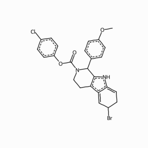 COc1ccc(C2c3[nH]c4c(c3CCN2C(=O)Oc2ccc(Cl)cc2)=CC(Br)CC=4)cc1